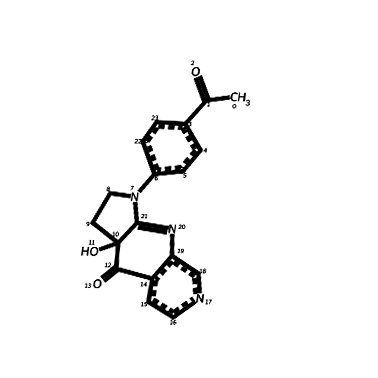 CC(=O)c1ccc(N2CCC3(O)C(=O)c4ccncc4N=C23)cc1